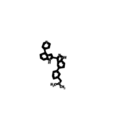 CN(C)Cc1cccc(-c2ccc3[nH]nc(-c4cc5c(-c6ccncc6)cccc5[nH]4)c3c2)c1